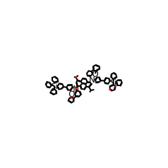 CC(C)c1cc(N(C2=CCCc3c2oc2ccccc32)c2ccc(-c3ccc([Si](c4ccccc4)(c4ccccc4)c4ccccc4)cc3)cc2)c2ccc3c(C(C)C)cc(N(c4ccc(-c5ccc([Si](C6=CC=CCC6)(c6ccccc6)c6ccccc6)cc5)cc4)c4cccc5c4oc4ccccc45)c4ccc1c2c34